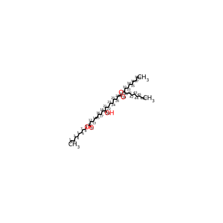 CCCCCCCCCOC(=O)CCCCCCCC(O)CCCCCCCC(=O)OC(CCCCCCCC)CCCCCCCC